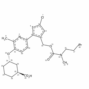 Cc1nc(-c2sc(Cl)cc2COC(=O)N(C)CCC(C)C)ccc1O[C@H]1CCC[C@H](C(=O)O)C1